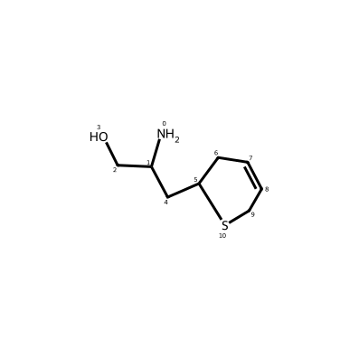 NC(CO)CC1CC=CCS1